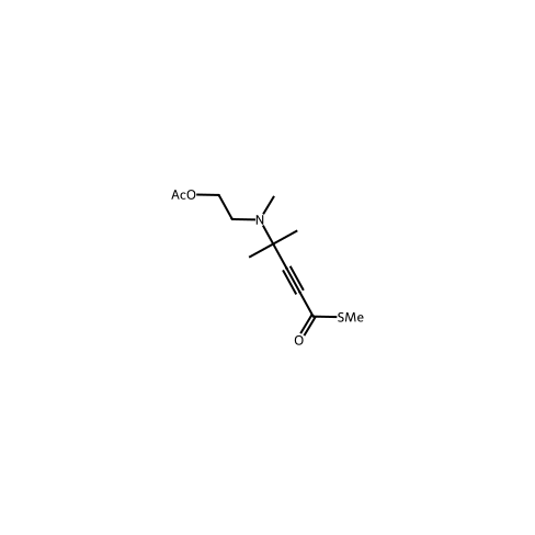 CSC(=O)C#CC(C)(C)N(C)CCOC(C)=O